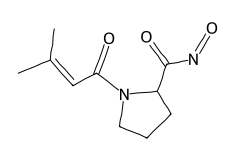 CC(C)=CC(=O)N1CCCC1C(=O)N=O